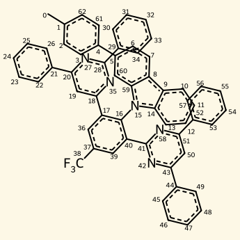 Cc1ccc(-c2ccc3c4ccccc4n(-c4c(-c5cc(-c6ccccc6)nc(-c6ccccc6)n5)cc(C(F)(F)F)cc4-c4nc(-c5ccccc5)cc(-c5ccccc5)n4)c3c2)cc1